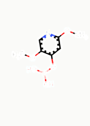 COc1cc(OB(O)O)c(OC)cn1